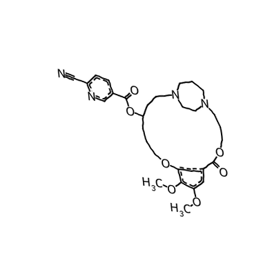 COc1cc2cc(c1OC)OCCCC(OC(=O)c1ccc(C#N)nc1)CCN1CCCN(CCCOC2=O)CC1